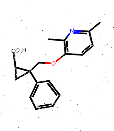 Cc1ccc(OCC2(c3ccccc3)CC2C(=O)O)c(C)n1